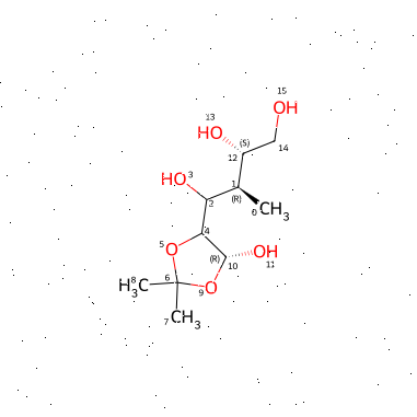 C[C@@H](C(O)C1OC(C)(C)O[C@H]1O)[C@H](O)CO